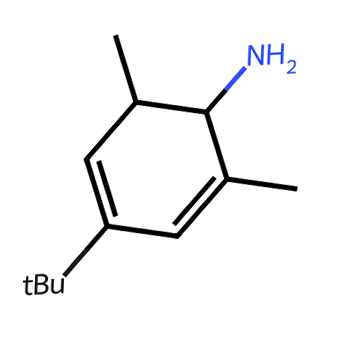 CC1=CC(C(C)(C)C)=CC(C)C1N